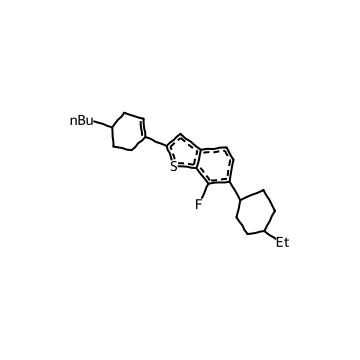 CCCCC1CC=C(c2cc3ccc(C4CCC(CC)CC4)c(F)c3s2)CC1